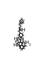 Nc1c(-c2nc3ccc(CNCCCN4CCCC4)cc3[nH]2)c(=O)[nH]c2cccc(F)c12